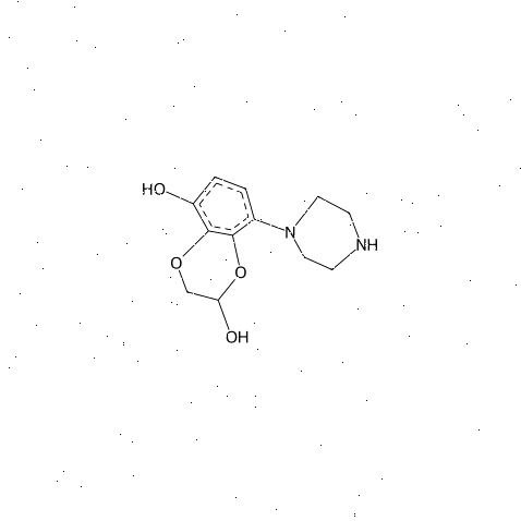 Oc1ccc(N2CCNCC2)c2c1OCC(O)O2